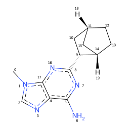 Cn1cnc2c(N)nc([C@@H]3C[C@@H]4CC[C@H]3C4)nc21